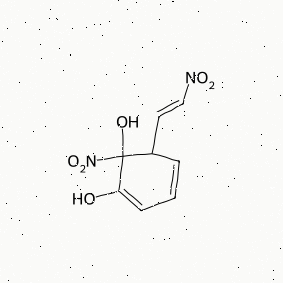 O=[N+]([O-])/C=C/C1C=CC=C(O)C1(O)[N+](=O)[O-]